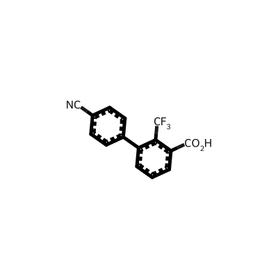 N#Cc1ccc(-c2cccc(C(=O)O)c2C(F)(F)F)cc1